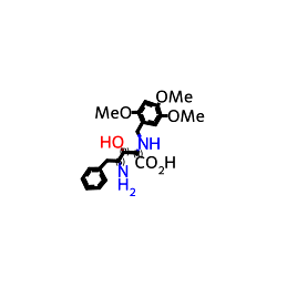 COc1cc(OC)c(OC)cc1CN[C@@H](C(=O)O)[C@H](O)[C@@H](N)Cc1ccccc1